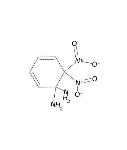 NC1(N)C=CC=CC1([N+](=O)[O-])[N+](=O)[O-]